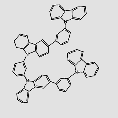 C1=Cc2c(n(-c3cccc(-n4c5ccccc5c5cc(-c6cccc(-n7c8ccccc8c8ccccc87)c6)ccc54)c3)c3ccc(-c4cccc(-n5c6ccccc6c6ccccc65)c4)cc23)CC1